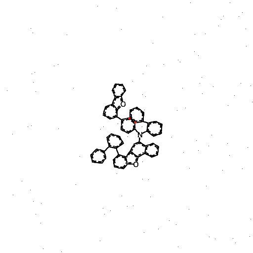 c1ccc(-c2ccccc2-c2cccc3oc4c5ccccc5c(N(c5ccc(-c6cccc7c6oc6ccccc67)cc5)c5ccccc5-c5ccccc5)cc4c23)cc1